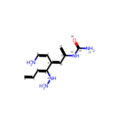 C=C/C=C(NN)/C(/C=C\N)=C/C(=C)NC(N)=O